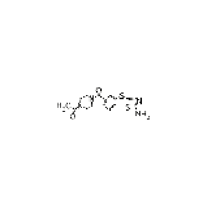 CC(=O)N1CCN(C(=O)c2cccc(Sc3cnc(N)s3)c2)CC1